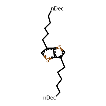 CCCCCCCCCCCCCCCc1csc2c(CCCCCCCCCCCCCCC)csc12